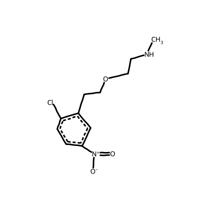 CNCCOCCc1cc([N+](=O)[O-])ccc1Cl